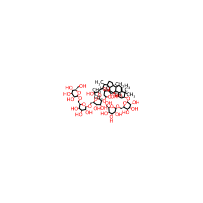 C[C@H](CC[C@@H](O[C@@H]1O[C@H](CO[C@@H]2O[C@H](CO[C@@H]3O[C@H](CO)[C@@H](O)[C@H](O)[C@H]3O)[C@@H](O)[C@H](O)[C@H]2O)[C@@H](O)[C@H](O)[C@H]1O[C@H]1C[C@@H](O)C[C@@H](CO)O1)C(C)(C)O)C1CC[C@@]2(C)C3CC=C4C(CC[C@H](O[C@@H]5O[C@H](CO[C@H]6O[C@H](CO)[C@@H](O)[C@H](O)[C@H]6O)[C@@H](O)[C@H](O)[C@H]5O)C4(C)C)[C@]3(C)[C@H](O)C[C@]12C